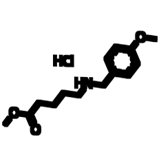 COC(=O)CCCCNCc1ccc(OC)cc1.Cl